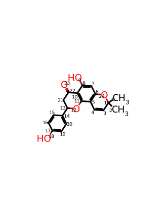 CC1(C)C=Cc2c(cc(O)c3c2OC(c2ccc(O)cc2)CC3=O)O1